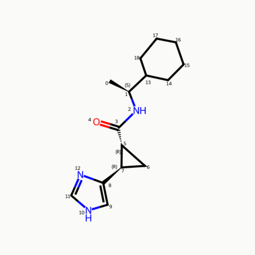 C[C@H](NC(=O)[C@@H]1C[C@H]1c1c[nH]cn1)C1CCCCC1